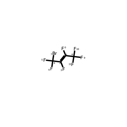 F/C(=C(/F)C(F)(F)Br)C(F)(F)F